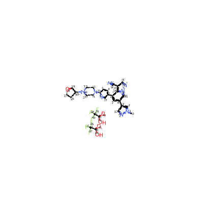 Cn1cc(-c2cc(-c3ccc(N4CCN(C5CCOC5)CC4)nc3)c3c(C#N)cnn3c2)cn1.O=C(O)C(F)(F)F.O=C(O)C(F)(F)F